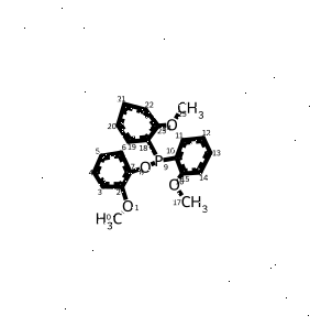 COc1ccccc1OP(c1ccccc1OC)c1ccccc1OC